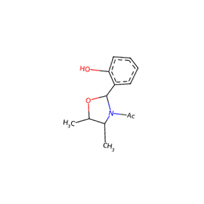 CC(=O)N1C(c2ccccc2O)OC(C)C1C